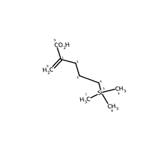 C=C(CCC[Si](C)(C)C)C(=O)O